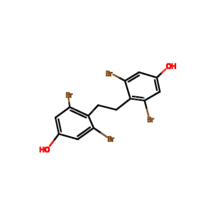 Oc1cc(Br)c(CCc2c(Br)cc(O)cc2Br)c(Br)c1